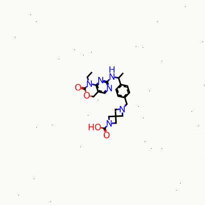 CCN1C(=O)OCc2cnc(NC(C)c3ccc(CN4CC5(C4)CN(C(=O)O)C5)cc3)nc21